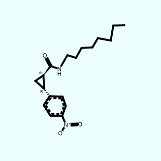 CCCCCCCCNC(=O)[C@@H]1C[C@H]1c1ccc([N+](=O)[O-])cc1